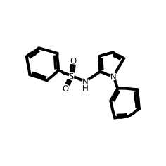 O=S(=O)(Nc1cccn1-c1ccccc1)c1ccccc1